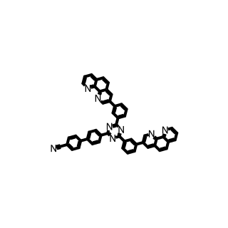 N#Cc1ccc(-c2ccc(-c3nc(-c4cccc(-c5cnc6c(ccc7cccnc76)c5)c4)nc(-c4cccc(-c5cnc6c(ccc7cccnc76)c5)c4)n3)cc2)cc1